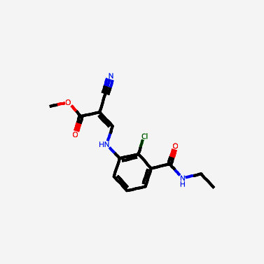 CCNC(=O)c1cccc(NC=C(C#N)C(=O)OC)c1Cl